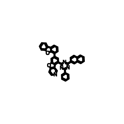 c1ccc(-c2nc(-c3ccc4ccccc4c3)nc(-c3cc(-c4cccc5c4oc4ccccc45)cc4oc5ccncc5c34)n2)cc1